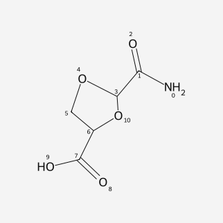 NC(=O)C1OCC(C(=O)O)O1